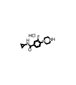 Cl.O=C(NC1CC1)c1ccc(N2CCNCC2)c(F)c1